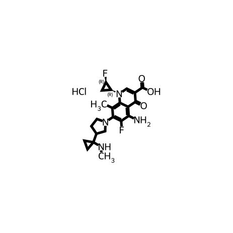 CNC1(C2CCN(c3c(F)c(N)c4c(=O)c(C(=O)O)cn([C@@H]5C[C@H]5F)c4c3C)C2)CC1.Cl